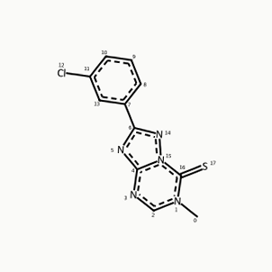 Cn1cnc2nc(-c3cccc(Cl)c3)nn2c1=S